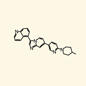 CC1CCN(c2ccc(-c3ccn4c(-c5cccc6ncccc56)cnc4c3)cn2)CC1